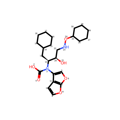 O=C(O)N(c1coc2occc12)[C@@H](CC1CCCCC1)[C@H](O)CNOC1CCCCC1